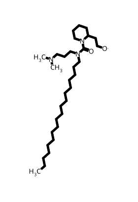 CCCCCCCCCCCCCCCCCCN(CCCN(C)C)C(=O)N1CCCCC1CC[O]